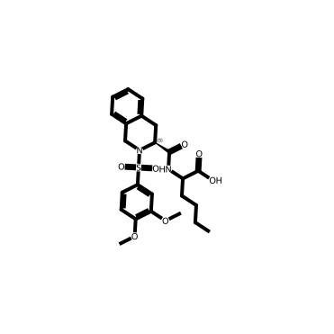 CCCCC(NC(=O)[C@@H]1Cc2ccccc2CN1S(=O)(=O)c1ccc(OC)c(OC)c1)C(=O)O